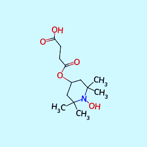 CC1(C)CC(OC(=O)CCC(=O)O)CC(C)(C)N1O